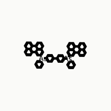 c1ccc([As](c2ccc(-c3ccc([As](c4ccccc4)c4cc5cccc6c7cccc8cccc(c(c4)c56)c87)cc3)cc2)c2cc3cccc4c5cccc6cccc(c(c2)c34)c65)cc1